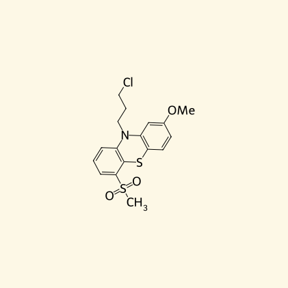 COc1ccc2c(c1)N(CCCCl)c1cccc(S(C)(=O)=O)c1S2